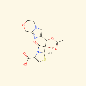 CC(=O)OC(c1cn2c(n1)COCC2)C1(Br)C(=O)N2C(C(=O)O)=CS[C@@H]21